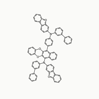 c1ccc(-c2cccc(N(c3ccc(-c4c5c(c(N(c6cccc(-c7ccccc7)c6)c6ccc7c(c6)oc6ccccc67)c6ccccc46)Oc4ccccc4O5)cc3)c3ccc4c(c3)oc3ccccc34)c2)cc1